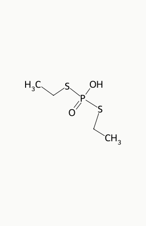 CCSP(=O)(O)SCC